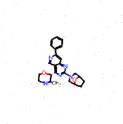 CC1NCCO[C@@H]1c1nc(N2CC3CCC(C2)O3)nc2cc(-c3ccccc3)ncc12